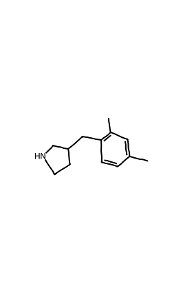 Cc1ccc(CC2CCNC2)c(C)c1